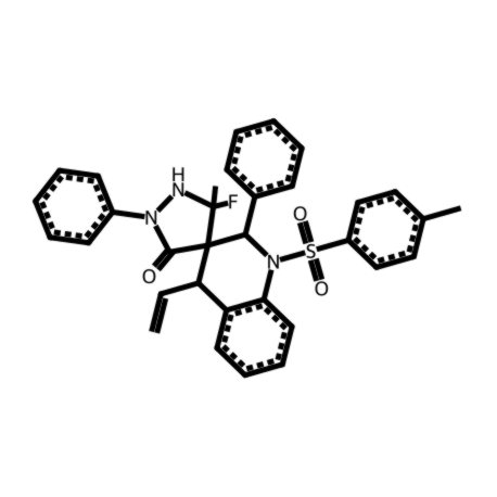 C=CC1c2ccccc2N(S(=O)(=O)c2ccc(C)cc2)C(c2ccccc2)C12C(=O)N(c1ccccc1)NC2(C)F